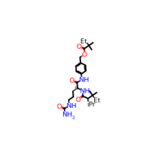 CCC(C)(C)C(=O)OCc1ccc(NC(=O)[C@H](CCCNC(N)=O)NC(=O)C(C(C)C)C(C)(C)CC)cc1